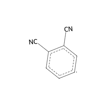 N#Cc1c[c]ccc1C#N